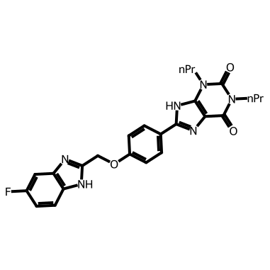 CCCn1c(=O)c2nc(-c3ccc(OCc4nc5cc(F)ccc5[nH]4)cc3)[nH]c2n(CCC)c1=O